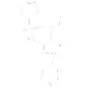 CC(=O)OC1=C(NS(=O)(=O)c2ccccc2)OC(C)(c2ccncc2)C1=O